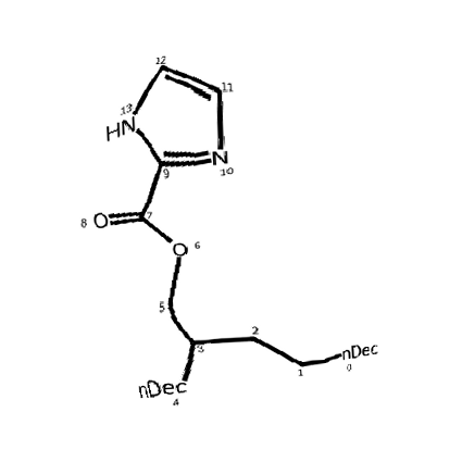 CCCCCCCCCCCCC(CCCCCCCCCC)COC(=O)c1ncc[nH]1